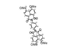 COc1ccc2c3c(ccc(OC)c13)C(=O)N(c1ccc(N3C(=O)c4ccc(OC)c5c(OC)ccc(c45)C3=O)cc1)C2=O